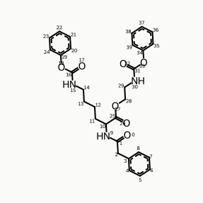 O=C(Cc1ccccc1)NC(CCCCNC(=O)Oc1ccccc1)C(=O)OCCNC(=O)Oc1ccccc1